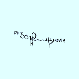 CNc1cc(I)cc2c1CC=CN2CCCCCC(=O)NCc1ccc2c(c1)C(CC(C)C)C=C2